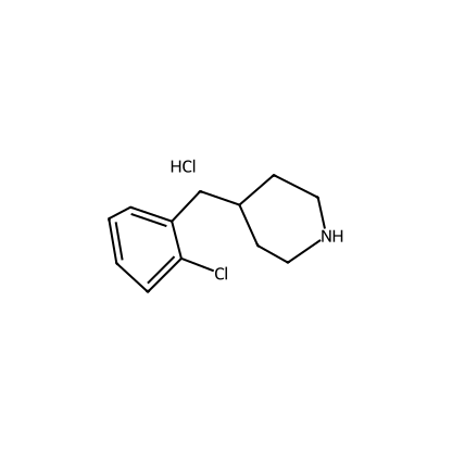 Cl.Clc1ccccc1CC1CCNCC1